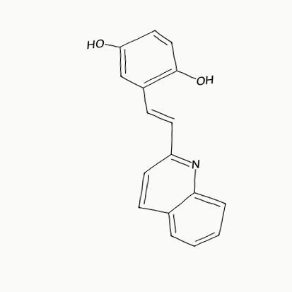 Oc1ccc(O)c(/C=C/c2ccc3ccccc3n2)c1